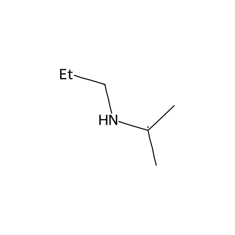 CCCN[C](C)C